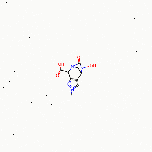 Cn1cc2c(n1)C(C(=O)O)N1CC2N(O)C1=O